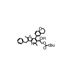 Cc1nc2c(Cc3ccccc3)c(C)sc2c(-c2ccc3c(c2)CCCO3)c1[C@H](O)COC(=O)C(C)(C)C